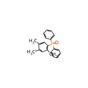 Cc1cc(C)c(P(=O)(c2ccccc2)c2ccccc2)cc1C